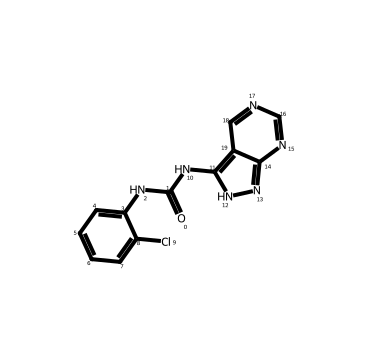 O=C(Nc1ccccc1Cl)Nc1[nH]nc2ncncc12